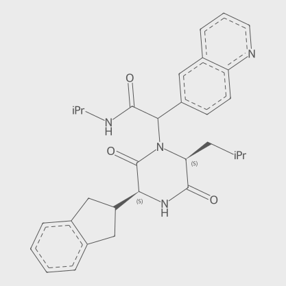 CC(C)C[C@H]1C(=O)N[C@@H](C2Cc3ccccc3C2)C(=O)N1C(C(=O)NC(C)C)c1ccc2ncccc2c1